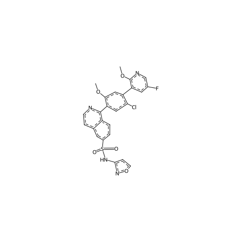 COc1cc(-c2cc(F)cnc2OC)c(Cl)cc1-c1nccc2cc(S(=O)(=O)Nc3ccon3)ccc12